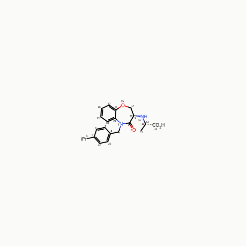 CC(C)c1ccc(CN2C(=O)[C@H](N[C@@H](C)C(=O)O)COc3ccccc32)cc1